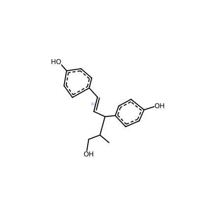 CC(CO)C(/C=C/c1ccc(O)cc1)c1ccc(O)cc1